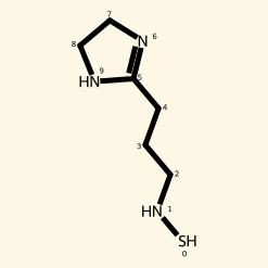 SNCCCC1=NCCN1